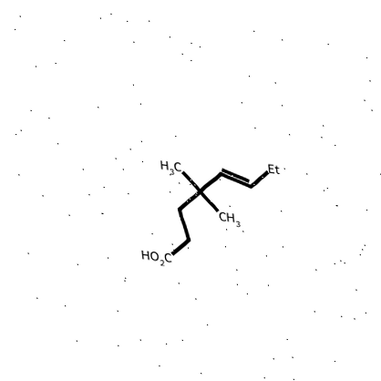 CC/C=C/C(C)(C)CCC(=O)O